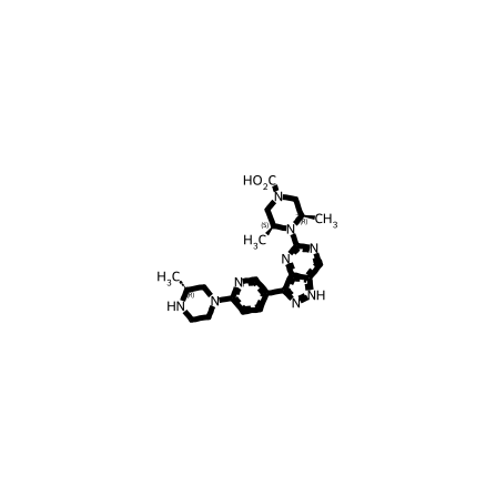 C[C@@H]1CN(c2ccc(-c3n[nH]c4cnc(N5[C@H](C)CN(C(=O)O)C[C@@H]5C)nc34)cn2)CCN1